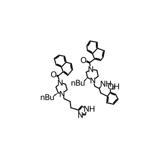 CCCC[C@H]1CN(C(=O)c2cccc3ccccc23)CCN1CC(N)Cc1ccccc1O.CCCC[C@H]1CN(C(=O)c2cccc3ccccc23)CCN1CCCc1c[nH]cn1